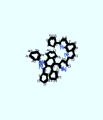 c1ccc(-c2ccc3ccc4ccc(-c5cncc(-c6c(-c7ccccc7)c7c(-c8ccccc8)nn(-c8ccccc8)c7c7ccccc67)c5)nc4c3n2)cc1